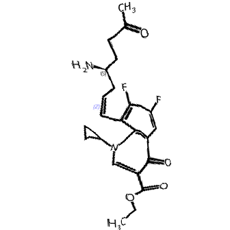 CCOC(=O)c1cn(C2CC2)c2c(/C=C\C[C@@H](N)CCC(C)=O)c(F)c(F)cc2c1=O